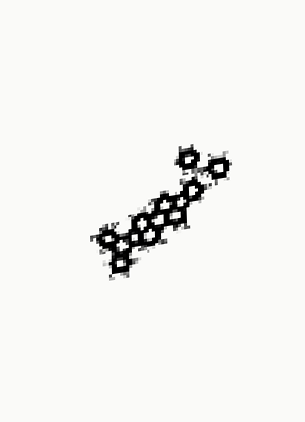 c1ccc(N(c2ccccc2)c2ccc3c(c2)-c2ccc4c5ccc6c7c(ccc(c8ccc-3c2c84)c75)-c2c-6c3ccccc3c3ccccc23)cc1